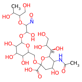 CC(=O)NC1C(O)CC(OCC2OC(OC(O)C(N=O)OC(CO)C(C)O)C(O)C(O)C2O)(C(=O)O)OC1[C@H](O)C(O)CO